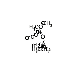 COc1ccc(-c2c(F)c3cc(OCc4ccccc4)ccc3n2Cc2ccc(CCO[Si](C)(C)C(C)(C)C)cc2)c(C)c1